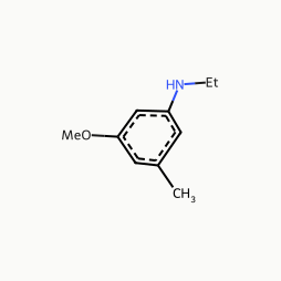 CCNc1cc(C)cc(OC)c1